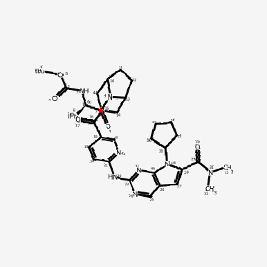 CC(C)[C@@H](NC(=O)OC(C)(C)C)C(=O)N1C2CCC1CN(C(=O)c1ccc(Nc3ncc4cc(C(=O)N(C)C)n(C5CCCC5)c4n3)nc1)C2